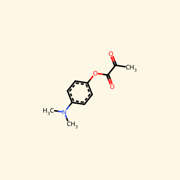 CC(=O)C(=O)Oc1ccc(N(C)C)cc1